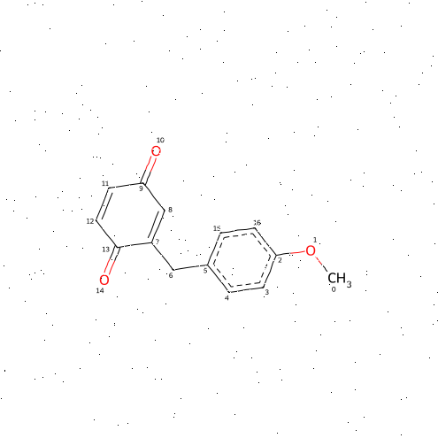 COc1ccc(CC2=CC(=O)C=CC2=O)cc1